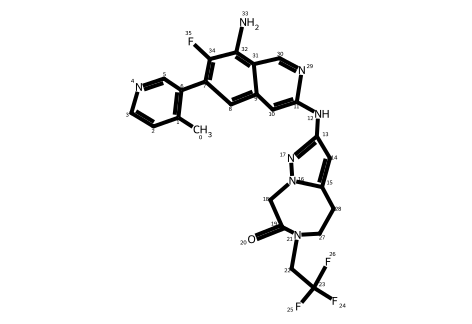 Cc1ccncc1-c1cc2cc(Nc3cc4n(n3)CC(=O)N(CC(F)(F)F)CC4)ncc2c(N)c1F